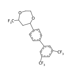 FC(F)(F)c1cc(-c2ccc(C3CC(C(F)(F)F)OCCO3)cc2)cc(C(F)(F)F)c1